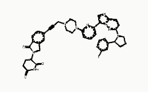 O=C1CCC(N2Cc3cc(C#CCN4CCN(c5cccc(-c6cnc7ccc(N8CCCC8c8cccc(F)c8)nn67)n5)CC4)ccc3C2=O)C(=O)N1